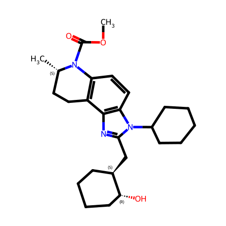 COC(=O)N1c2ccc3c(nc(C[C@@H]4CCCC[C@H]4O)n3C3CCCCC3)c2CC[C@@H]1C